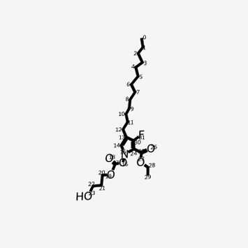 CCCCCCCCCCCCCc1cn(OC(=O)OCCCO)c(C(=O)OCC)c1F